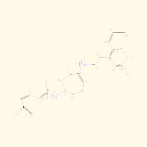 C=C(C)/C=C\C=C(/C)NC1CCC=C(NCC/C(C=C(C)C)=C(C)\C=C/C)CC1